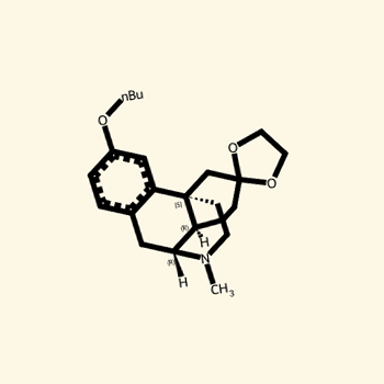 CCCCOc1ccc2c(c1)[C@]13CCN(C)[C@H](C2)[C@@H]1CCC1(C3)OCCO1